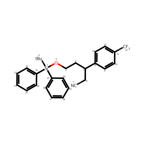 CC(C)(C)[Si](OCCC(CC#N)c1ccc(C(F)(F)F)cc1)(c1ccccc1)c1ccccc1